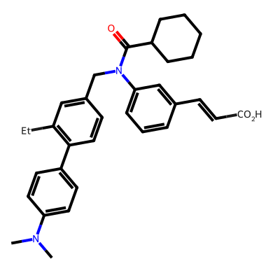 CCc1cc(CN(C(=O)C2CCCCC2)c2cccc(C=CC(=O)O)c2)ccc1-c1ccc(N(C)C)cc1